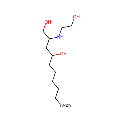 CCCCCCCCCCCCCCC(O)CC(CO)NCCO